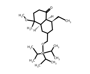 CC[C@H]1CC(CO[Si](C(C)C)(C(C)C)C(C)C)C[C@@H]2[C@H]1C(=O)CCC2(C)OC